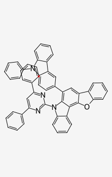 c1ccc(-c2cc(-c3ccccc3)nc(-n3c4ccccc4c4c5oc6ccccc6c5cc(-c5ccc6c(c5)c5ccccc5n6-c5ccccc5)c43)n2)cc1